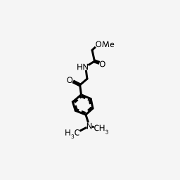 COCC(=O)NCC(=O)c1ccc(N(C)C)cc1